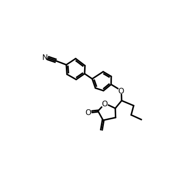 C=C1CC(C(CCC)Oc2ccc(-c3ccc(C#N)cc3)cc2)OC1=O